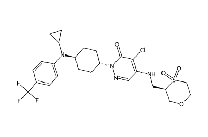 O=c1c(Cl)c(NC[C@@H]2COCCS2(=O)=O)cnn1[C@H]1CC[C@H](N(c2ccc(C(F)(F)F)cc2)C2CC2)CC1